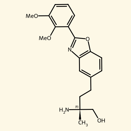 COc1cccc(-c2nc3cc(CC[C@@](C)(N)CO)ccc3o2)c1OC